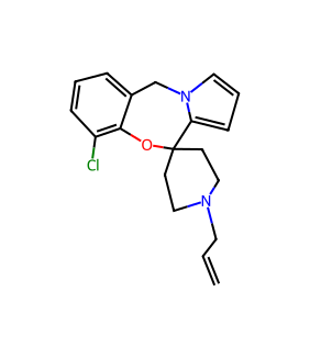 C=CCN1CCC2(CC1)Oc1c(Cl)cccc1Cn1cccc12